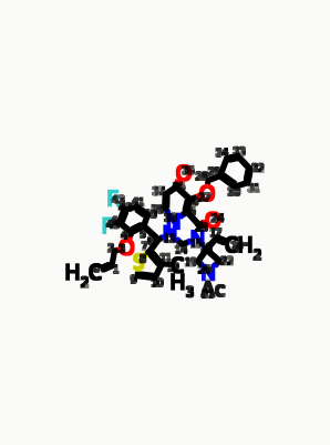 C=CCOc1c(C(c2sccc2C)N2CN(C3(C=C)CN(C(C)=O)C3)C(=O)c3c(OCc4ccccc4)c(=O)ccn32)ccc(F)c1F